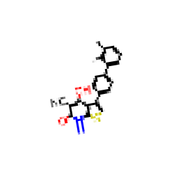 Cc1cccc(-c2ccc(-c3csc4[nH]c(=O)c(C#N)c(O)c34)cc2)c1C